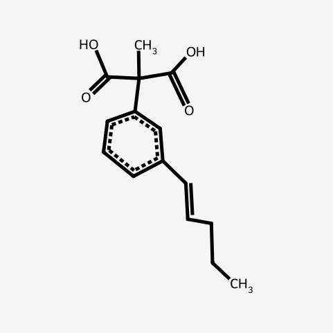 CCCC=Cc1cccc(C(C)(C(=O)O)C(=O)O)c1